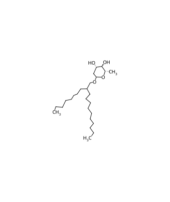 CCCCCCCCCCC(CCCCCCCC)COC1C[C@H](O)[C@@H](O)[C@H](C)O1